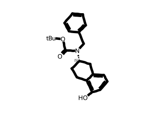 CC(C)(C)OC(=O)N(Cc1ccccc1)[C@H]1CCc2c(O)cccc2C1